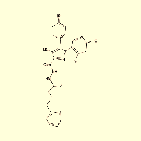 N#Cc1c(C(=O)NNC(=O)CCCc2ccccc2)nn(-c2ccc(Cl)cc2Cl)c1-c1ccc(Br)cc1